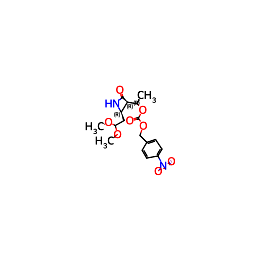 COC(C[C@H]1NC(=O)[C@H]1[C@@H](C)OC(=O)OCc1ccc([N+](=O)[O-])cc1)OC